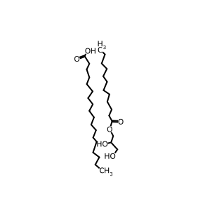 CCCCCCCCCCCC(=O)OCC(O)CO.CCCCCCCCCCCCCCCCCC(=O)O